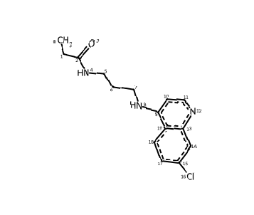 CCC(=O)NCCCNc1ccnc2cc(Cl)ccc12